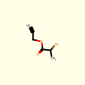 C#CCOC(=O)C(C)S